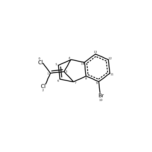 ClC(Cl)=C1C2C=CC1c1c(Br)cccc12